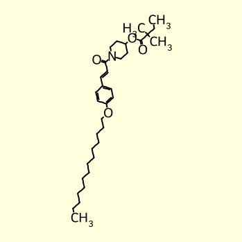 CCCCCCCCCCCCCCOc1ccc(/C=C/C(=O)N2CCC(OC(=O)C(C)(C)CC)CC2)cc1